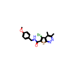 COc1ccc(CNC(=O)c2sc3nnc(C)c(C)c3c2Br)cc1